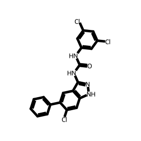 O=C(Nc1cc(Cl)cc(Cl)c1)Nc1n[nH]c2cc(Cl)c(-c3ccccc3)cc12